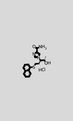 C[C@H](O)[C@@H](CCSc1cccc2ccccc12)n1cnc(C(N)=O)c1.Cl